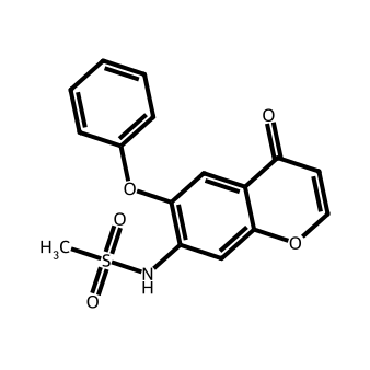 CS(=O)(=O)Nc1cc2occc(=O)c2cc1Oc1ccccc1